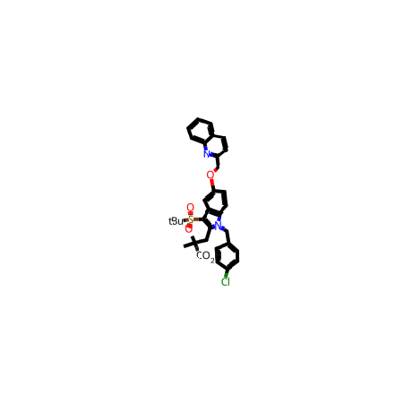 CC(C)(Cc1c(S(=O)(=O)C(C)(C)C)c2cc(OCc3ccc4ccccc4n3)ccc2n1Cc1ccc(Cl)cc1)C(=O)O